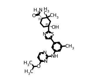 Cc1cc(Nc2nccc(OC(C)C)n2)cc(-c2cnc([C@@]3(O)CC[C@H](C(N)=O)C(C)(C)C3)s2)c1